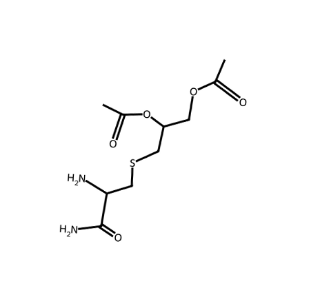 CC(=O)OCC(CSCC(N)C(N)=O)OC(C)=O